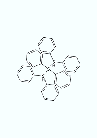 c1ccc([SH](c2ccccc2)S(c2ccccc2)(c2ccccc2)[SH](c2ccccc2)c2ccccc2)cc1